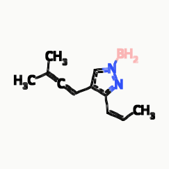 Bn1cc(C=C=C(C)C)c(/C=C\C)n1